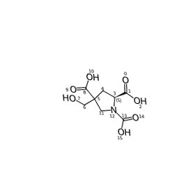 O=C(O)[C@@H]1CC(CO)(C(=O)O)CN1C(=O)O